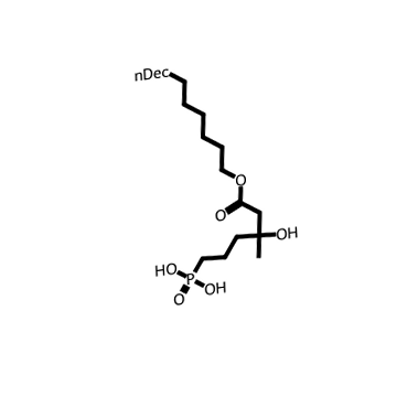 CCCCCCCCCCCCCCCCOC(=O)CC(C)(O)CCCP(=O)(O)O